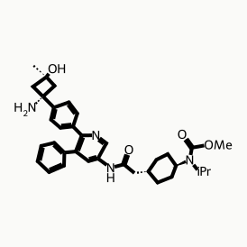 COC(=O)N(C(C)C)[C@H]1CC[C@H](CC(=O)Nc2cnc(-c3ccc([C@]4(N)C[C@](C)(O)C4)cc3)c(-c3ccccc3)c2)CC1